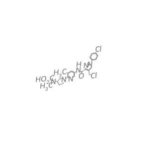 Cc1cc(NC(=O)c2nn(-c3ccc(Cl)cc3)cc2CCl)cnc1N1CCC(N(C)C(=O)O)C1